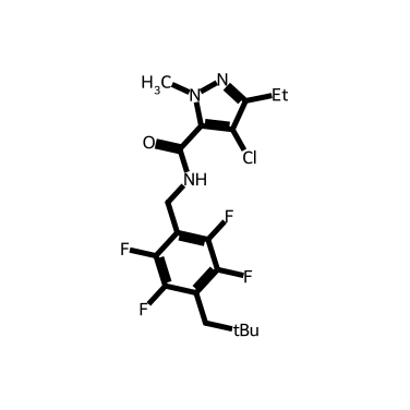 CCc1nn(C)c(C(=O)NCc2c(F)c(F)c(CC(C)(C)C)c(F)c2F)c1Cl